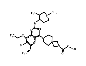 C=Cc1cc2c(N3CCC4(CC3)CN(C(=O)OC(C)(C)C)C4)nc(OC3CCN(C)CC3C)nc2c(OCC(F)(F)F)c1Br